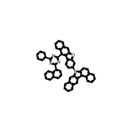 c1ccc(-c2nc(-c3cccc4ccccc34)nc(-c3c4ccccc4cc4oc5cc(-n6c7cc8ccccc8cc7c7c8ccccc8ccc76)ccc5c34)n2)cc1